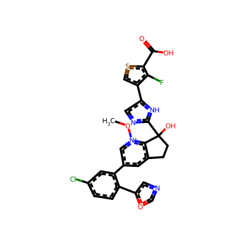 CO[n+]1cc(-c2cc(Cl)ccc2-c2cnco2)cc2c1C(O)(c1ncc(-c3csc(C(=O)O)c3F)[nH]1)CC2